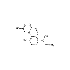 NCC(O)c1ccc(O)c2c1ccc(=O)n2CC(=O)O